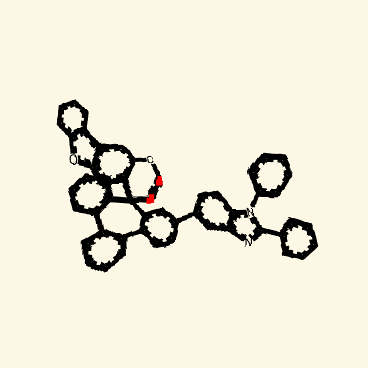 c1ccc(-c2nc3cc(-c4ccc5c(c4)C4(c6ccccc6Oc6cc7c(cc64)oc4ccccc47)c4ccccc4-c4ccccc4-5)ccc3n2-c2ccccc2)cc1